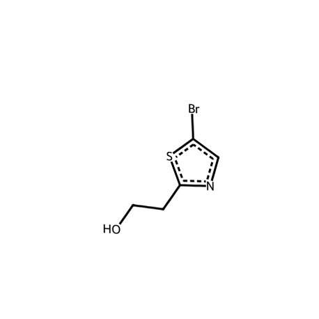 OCCc1ncc(Br)s1